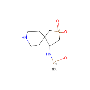 CC(C)(C)[S@@+]([O-])NC1CS(=O)(=O)CC12CCNCC2